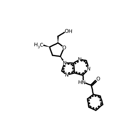 C[C@@H]1C[C@H](n2cnc3c(NC(=O)c4ccccc4)ncnc32)O[C@@H]1CO